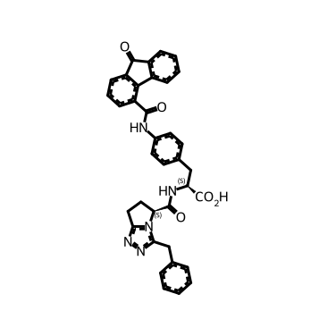 O=C(Nc1ccc(C[C@H](NC(=O)[C@@H]2CCc3nnc(Cc4ccccc4)n32)C(=O)O)cc1)c1cccc2c1-c1ccccc1C2=O